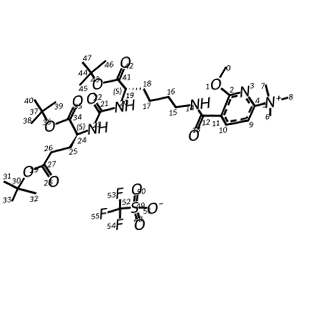 COc1nc([N+](C)(C)C)ccc1C(=O)NCCCC[C@H](NC(=O)N[C@@H](CCC(=O)OC(C)(C)C)C(=O)OC(C)(C)C)C(=O)OC(C)(C)C.O=S(=O)([O-])C(F)(F)F